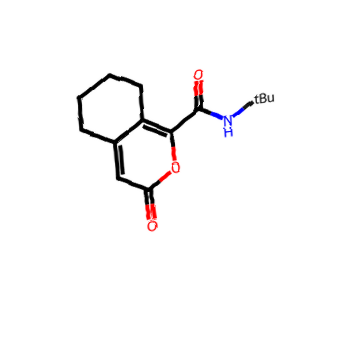 CC(C)(C)NC(=O)c1oc(=O)cc2c1CCCC2